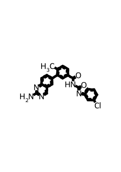 Cc1ccc(C(=O)Nc2nc3cc(Cl)ccc3o2)cc1-c1ccc2nc(N)ncc2c1